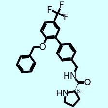 O=C(NCc1ccc(-c2cc(C(F)(F)F)ccc2OCc2ccccc2)cc1)[C@@H]1CCCN1